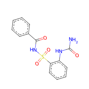 NC(=O)Nc1ccccc1S(=O)(=O)NC(=O)c1ccccc1